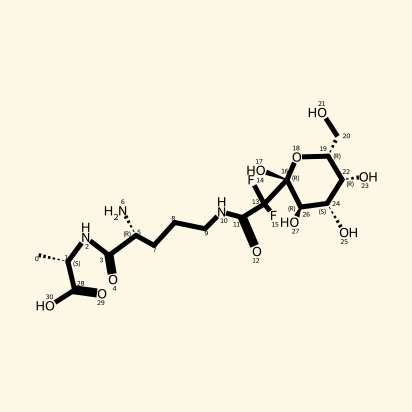 C[C@H](NC(=O)[C@H](N)CCCNC(=O)C(F)(F)[C@]1(O)O[C@H](CO)[C@H](O)[C@H](O)[C@H]1O)C(=O)O